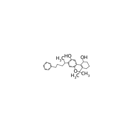 CC(CCCc1ccccc1)c1cc2c(cc1O)C1=C(CCCC1O)C(C)(C)O2